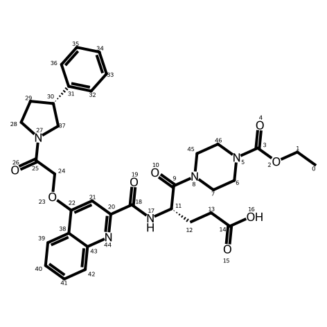 CCOC(=O)N1CCN(C(=O)[C@H](CCC(=O)O)NC(=O)c2cc(OCC(=O)N3CC[C@H](c4ccccc4)C3)c3ccccc3n2)CC1